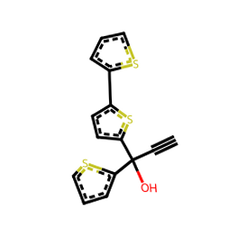 C#CC(O)(c1cccs1)c1ccc(-c2cccs2)s1